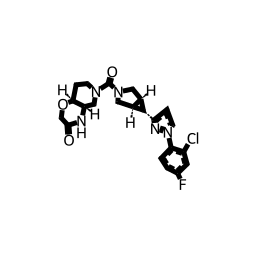 O=C1CO[C@H]2CCN(C(=O)N3C[C@@H]4[C@H](C3)[C@H]4c3ccn(-c4ccc(F)cc4Cl)n3)C[C@H]2N1